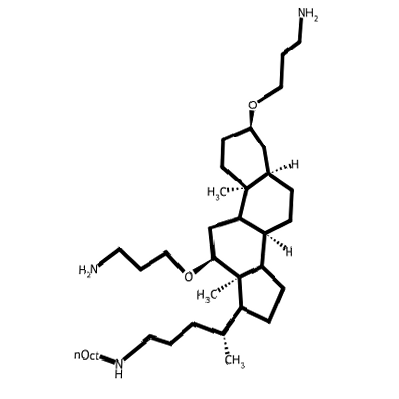 CCCCCCCCNCCC[C@@H](C)C1CCC2[C@@H]3CC[C@@H]4C[C@H](OCCCN)CC[C@]4(C)C3C[C@H](OCCCN)[C@@]21C